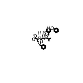 COC(=O)C(COCc1ccccc1)N(C)C(=O)CC[C@H](NCc1cc(Oc2ccccc2)ncc1N)C(C)C